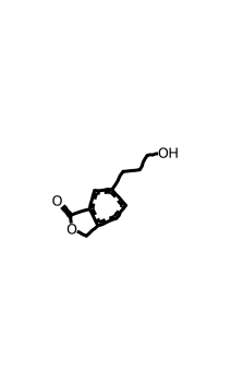 O=C1OCc2ccc(CCCO)cc21